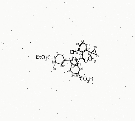 CCOC(=O)[C@@H]1CCC(c2nn(C(=O)c3c(Cl)cccc3C3(C(F)(F)F)CC3)c3c2CCC(C(=O)O)C3)=C[C@@H]1C